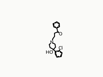 O=C(CCCN1CCC(O)(c2ccccc2Cl)CC1)c1ccccc1